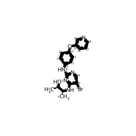 C[C@@H](O)[C@@H](C)Nc1nc(Nc2ccc(Oc3cccnc3)cc2)ncc1Br